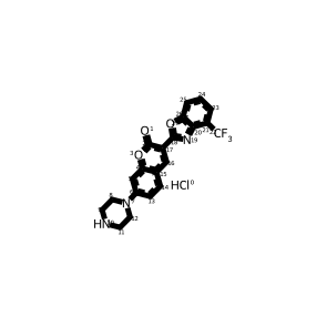 Cl.O=c1oc2cc(N3CCNCC3)ccc2cc1-c1nc2c(C(F)(F)F)cccc2o1